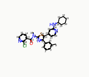 Cc1cccc(-c2nc(N(C)C(=O)c3cccnc3Cl)sc2-c2ccnc(NC3CCCCC3)c2)c1